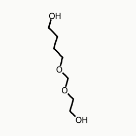 OCCCCOCOCCO